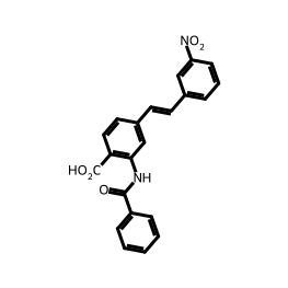 O=C(Nc1cc(C=Cc2cccc([N+](=O)[O-])c2)ccc1C(=O)O)c1ccccc1